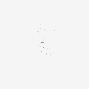 CC(C)c1c(F)c(C#N)cc(C2CC2)c1NC(=O)N=[S@@](N)(=O)C1CN=C(C(C)(C)O)S1